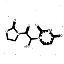 CCCCC(C(=O)N1CCOC1=O)n1ccc(=O)[nH]c1=O